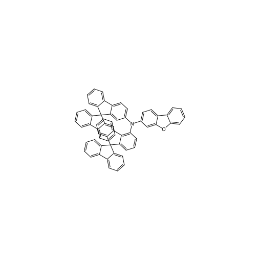 c1ccc2c(c1)-c1ccccc1C21c2ccccc2-c2ccc(N(c3ccc4c(c3)oc3ccccc34)c3cccc4c3-c3ccccc3C43c4ccccc4-c4ccccc43)cc21